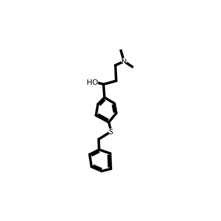 CN(C)CCC(O)c1ccc(SCc2ccccc2)cc1